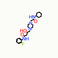 O=C(CC(O)CN1CCN(CC(=O)NC2CCCCC2)CC1)Nc1ccccc1F